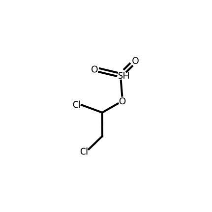 O=[SH](=O)OC(Cl)CCl